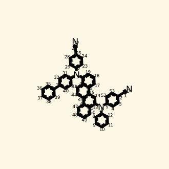 N#Cc1ccc(N(c2ccccc2)c2cc3c4cccc(N(c5ccc(C#N)cc5)c5ccc(-c6ccccc6)cc5)c4ccc3c3ccccc23)cc1